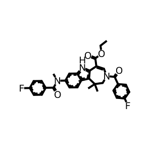 CCOC(=O)C1=CN(C(=O)c2ccc(F)cc2)CC(C)(C)c2c1[nH]c1cc(N(C)C(=O)c3ccc(F)cc3)ccc21